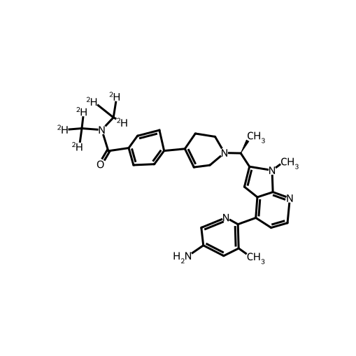 [2H]C([2H])([2H])N(C(=O)c1ccc(C2=CCN([C@@H](C)c3cc4c(-c5ncc(N)cc5C)ccnc4n3C)CC2)cc1)C([2H])([2H])[2H]